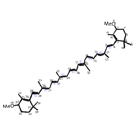 COC1CCC(C)(C)C(/C=C/C(C)=C/C=C/C(C)=C/C=C/C=C(C)/C=C/C=C(C)/C=C/C2=C(C)C(OC)CCC2(C)C)=C1C